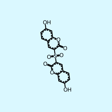 O=c1oc2cc(O)ccc2cc1S(=O)(=O)c1cc2ccc(O)cc2oc1=O